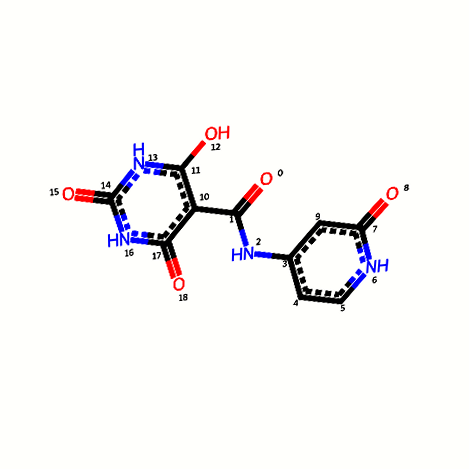 O=C(Nc1cc[nH]c(=O)c1)c1c(O)[nH]c(=O)[nH]c1=O